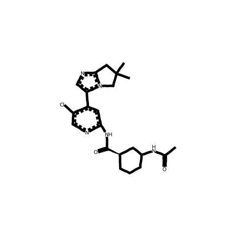 CC(=O)NC1CCC[C@@H](C(=O)Nc2cc(-c3cnc4n3CC(C)(C)C4)c(Cl)cn2)C1